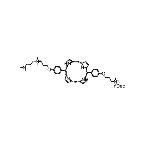 CCCCCCCCCC[N+](C)(C)CCCOc1ccc(-c2c3nc(cc4ccc([nH]4)c(-c4ccc(OCCC[N+](C)(C)CCCN(C)C)cc4)c4nc(cc5ccc2[nH]5)C=C4)C=C3)cc1